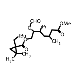 COC(=O)CC(C)CC(C(C)C)C(COC(=O)C1(CC(C)(C)C)CC1(C)C)OC=O